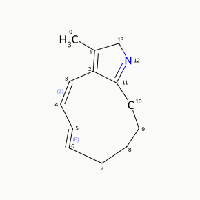 CC1=C2/C=C\C=C\CCCCC2=NC1